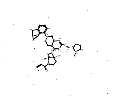 C=CC(=O)N1CC[C@@H]2[C@H]1CN2C1=NC(OC[C@@H]2CCCN2C)=NC2CN(c3cccc4c3C3CC3C4)CCC12